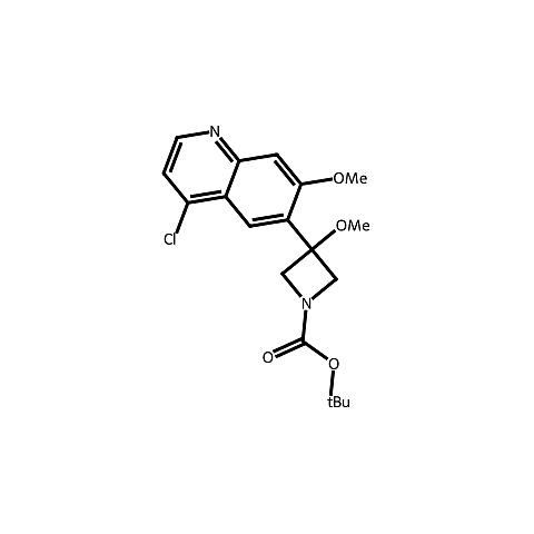 COc1cc2nccc(Cl)c2cc1C1(OC)CN(C(=O)OC(C)(C)C)C1